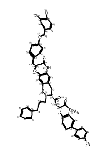 COC(=O)[C@H](Cc1ccc(-c2ccc(C#N)cc2)cc1)NC(=O)[C@@H]1Cc2cc3c(cc2CN1CCCc1ccccc1)O[C@@H](Cc1ccc(OCc2ccc(Cl)c(Cl)c2)cc1)C(=O)N3